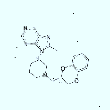 Cc1nc2cncnc2n1[C@H]1CCCN(C[C@H]2COc3ccccc3O2)C1